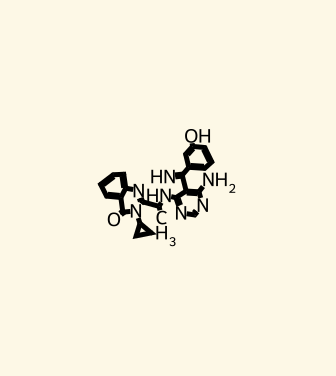 CC(Nc1ncnc(N)c1C(=N)c1cccc(O)c1)c1nc2ccccc2c(=O)n1C1CC1